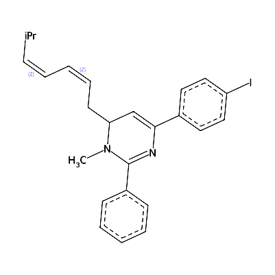 CC(C)/C=C\C=C/CC1C=C(c2ccc(I)cc2)N=C(c2ccccc2)N1C